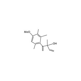 C=CC(C)(O)C(=C)c1c(C)cc(OC)c(C)c1C